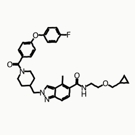 Cc1c(C(=O)NCCOCC2CC2)ccc2nn(CC3CCN(C(=O)c4ccc(Oc5ccc(F)cc5)cc4)CC3)cc12